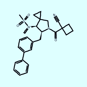 C=[N+]([C@@H]1[C@H](Cc2cccc(-c3ccccc3)c2)N(C(=O)C2(C#N)CCC2)CC12CC2)S(C)(=O)=O